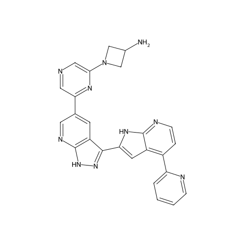 NC1CN(c2cncc(-c3cnc4[nH]nc(-c5cc6c(-c7ccccn7)ccnc6[nH]5)c4c3)n2)C1